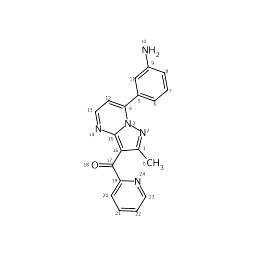 Cc1nn2c(-c3cccc(N)c3)ccnc2c1C(=O)c1ccccn1